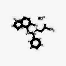 CNCC[C@@H](Oc1c(F)ccc2sccc12)c1ccccc1.Cl